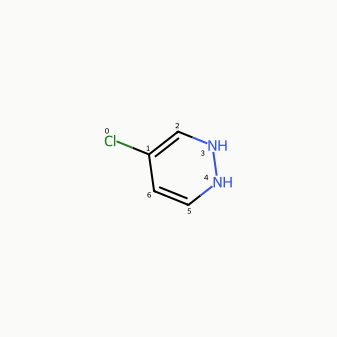 ClC1=CNNC=C1